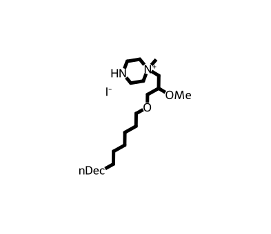 CCCCCCCCCCCCCCCCOCC(C[N+]1(C)CCNCC1)OC.[I-]